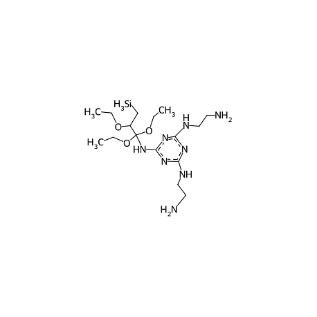 CCOC(C[SiH3])C(Nc1nc(NCCN)nc(NCCN)n1)(OCC)OCC